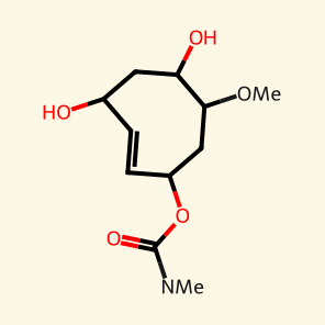 CNC(=O)OC1/C=C/C(O)CC(O)C(OC)C1